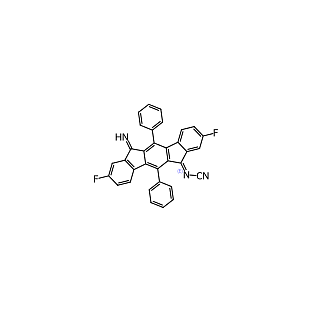 N#C/N=c1\c2cc(F)ccc2c2c(-c3ccccc3)c3c(=N)c4cc(F)ccc4c3c(-c3ccccc3)c12